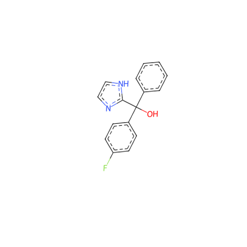 OC(c1ccccc1)(c1ccc(F)cc1)c1ncc[nH]1